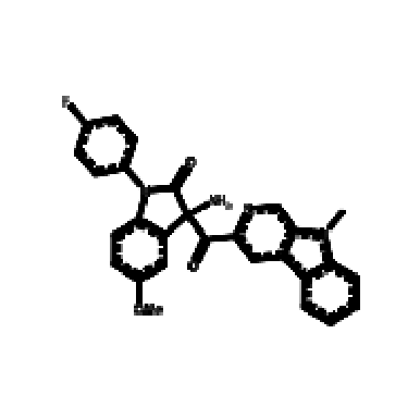 COc1ccc2c(c1)C(N)(C(=O)c1cc3c4ccccc4n(C)c3cn1)C(=O)N2c1ccc(F)cc1